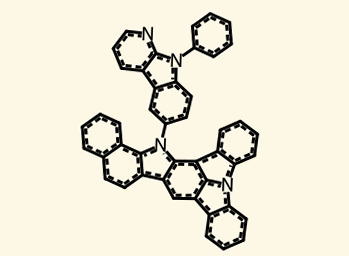 c1ccc(-n2c3ccc(-n4c5c6ccccc6ccc5c5cc6c7ccccc7n7c8ccccc8c(c54)c67)cc3c3cccnc32)cc1